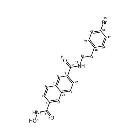 O=C(NO)c1ccc2cc(C(=O)NCCc3ccc(Br)cc3)ccc2c1